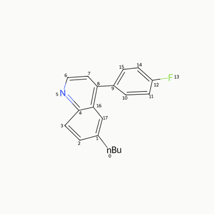 CCCCc1ccc2nccc(-c3ccc(F)cc3)c2c1